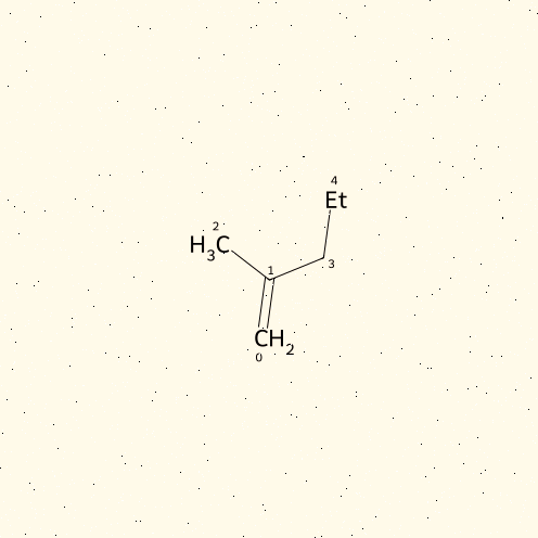 C=C(C)CCC